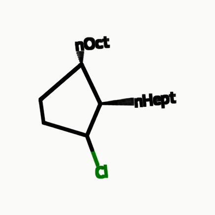 CCCCCCCC[C@H]1CCC(Cl)[C@@H]1CCCCCCC